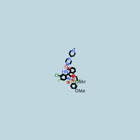 COc1ccc(S(=O)(=O)N2C(=O)C(NC(=O)ON3CCN(C4CCN(C)CC4)CC3)(c3ccccc3OCC(F)F)c3cc(Cl)c(F)cc32)c(OC)c1